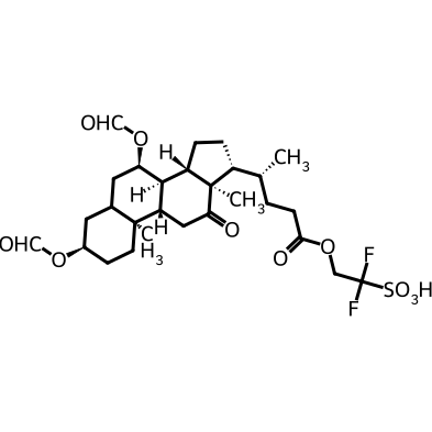 C[C@H](CCC(=O)OCC(F)(F)S(=O)(=O)O)[C@H]1CC[C@H]2[C@@H]3[C@H](OC=O)CC4C[C@H](OC=O)CC[C@]4(C)[C@H]3CC(=O)[C@]12C